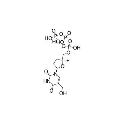 O=c1[nH]c(=O)n([C@H]2CC[C@@](F)(COP(=O)(O)OP(=O)(O)OP(=O)(O)O)O2)cc1CO